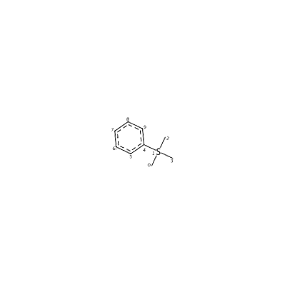 CS(C)(C)c1c[c]ccc1